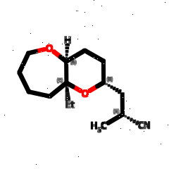 CC[C@@]12CCCCO[C@H]1CC[C@H](C[C@@H](C)C#N)O2